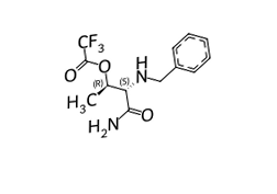 C[C@@H](OC(=O)C(F)(F)F)[C@H](NCc1ccccc1)C(N)=O